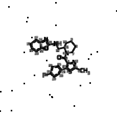 Cc1nc(C(=O)N2CCCCC2CNc2nc3ccccc3o2)c(-c2ccc(F)cc2)s1